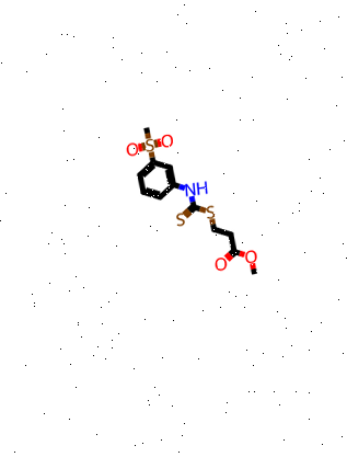 COC(=O)CCSC(=S)Nc1cccc(S(C)(=O)=O)c1